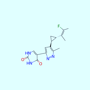 C/C(F)=C(\C)[C@H]1C[C@@H]1c1cc(-c2c[nH]c(=O)[nH]c2=O)nnc1C